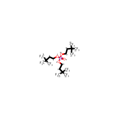 O=P(OCCC(C(F)(F)F)(C(F)(F)F)C(F)(F)F)(OCCC(C(F)(F)F)(C(F)(F)F)C(F)(F)F)OCCC(C(F)(F)F)(C(F)(F)F)C(F)(F)F